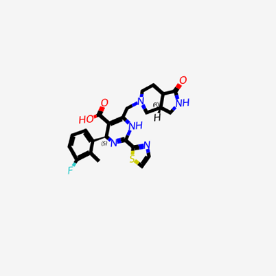 Cc1c(F)cccc1[C@@H]1N=C(c2nccs2)NC(CN2CCC3C(=O)NC[C@@H]3C2)=C1C(=O)O